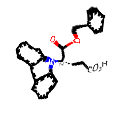 O=C(O)CC[C@@H](C(=O)OCc1ccccc1)n1c2ccccc2c2ccccc21